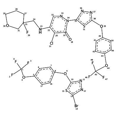 FC(F)(F)Oc1ccc(Oc2nnc(Br)s2)cc1.O=c1c(Cl)c(NCC2(F)CCCOC2)cnn1-c1nnc(Oc2ccc(OC(F)(F)F)cc2)s1